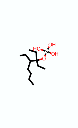 CCCCC(CC)C(CC)(CC)O[Si](O)(O)O